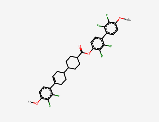 CCCCOc1ccc(-c2ccc(OC(=O)C3CCC(C4CC=C(c5ccc(OCC)c(F)c5F)CC4)CC3)c(F)c2F)c(F)c1F